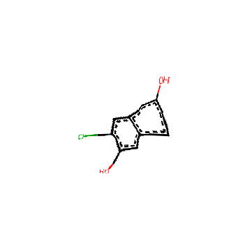 Oc1ccc2cc(O)c(Cl)cc2c1